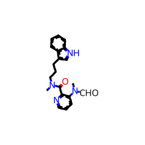 CN(CCCc1c[nH]c2ccccc12)C(=O)c1ncccc1N(C)C=O